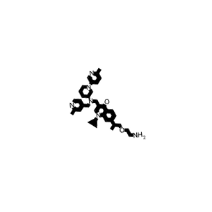 Cc1ccc(N2CCC[C@H](N(Cc3ccnc(C)c3)Cc3cn(C4CC4)c4cc(C(C)COCCN)ccc4c3=O)C2)cn1